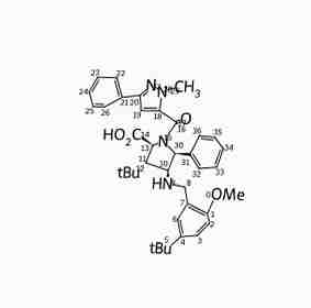 COc1ccc(C(C)(C)C)cc1CN[C@H]1[C@H](C(C)(C)C)[C@@H](C(=O)O)N(C(=O)c2cc(-c3ccccc3)nn2C)[C@H]1c1ccccc1